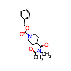 CC(=O)N(C)C(=O)C1CCN(C(=O)OCc2ccccc2)CC1